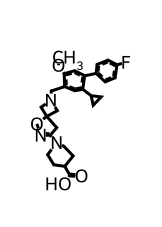 COc1cc(-c2ccc(F)cc2)c(C2CC2)cc1CN1CC2(CC(N3CCC(C(=O)O)CC3)=NO2)C1